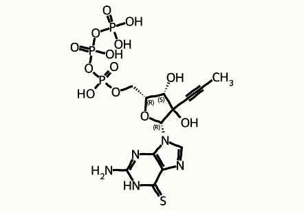 CC#CC1(O)[C@@H](O)[C@@H](COP(=O)(O)OP(=O)(O)OP(=O)(O)O)O[C@H]1n1cnc2c(=S)[nH]c(N)nc21